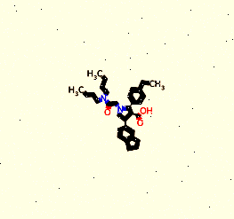 CCCCN(CCCC)C(=O)CN1C[C@H](c2ccc3c(c2)CCC3)[C@H](C(=O)O)[C@H]1c1ccc(CC)cc1